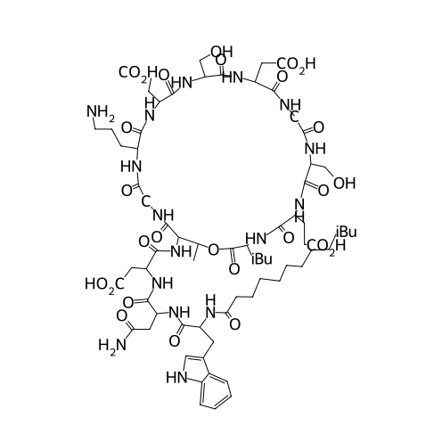 CCC(C)CCCCCCCCC(=O)NC(Cc1c[nH]c2ccccc12)C(=O)NC(CC(N)=O)C(=O)NC(CC(=O)O)C(=O)NC1C(=O)NCC(=O)NC(CCCN)C(=O)NC(CC(=O)O)C(=O)NC(CO)C(=O)NC(CC(=O)O)C(=O)NCC(=O)NC(CO)C(=O)NC(CCC(=O)O)C(=O)NC(C(C)CC)C(=O)OC1C